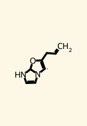 C=CCC1=[C]N2C=CNC2O1